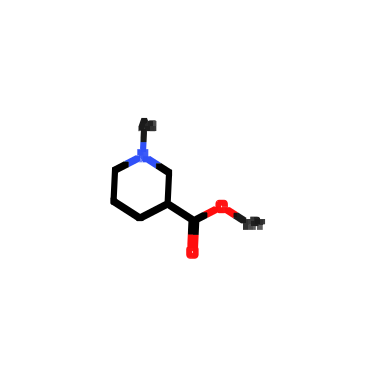 CCCOC(=O)C1CCCN(C(C)=O)C1